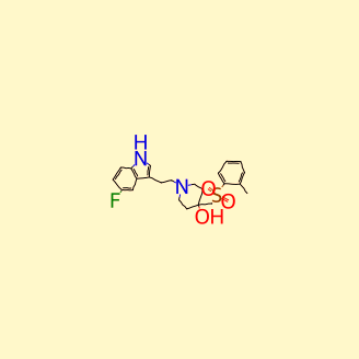 Cc1ccccc1S(=O)(=O)CC1(O)CCN(CCc2c[nH]c3ccc(F)cc23)CC1